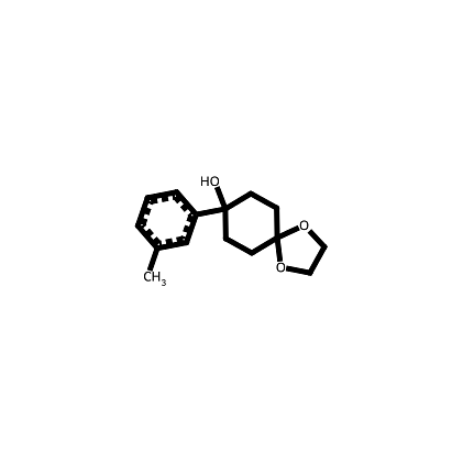 Cc1cccc(C2(O)CCC3(CC2)OCCO3)c1